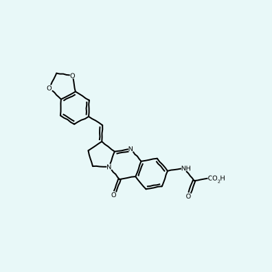 O=C(O)C(=O)Nc1ccc2c(=O)n3c(nc2c1)C(=Cc1ccc2c(c1)OCO2)CC3